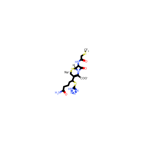 NC(=O)CCCC(Sc1nnn[nH]1)C1=C(C(=O)[O-])N2C(=O)C(NC(=O)CSC(F)(F)F)[C@@H]2SC1.[Na+]